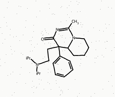 CC1=NC(=O)C(CCN(C(C)C)C(C)C)(c2ccccc2)C2CCCCN12